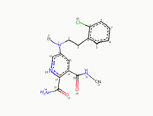 CCN(CCc1ccccc1Cl)c1cnc(C(N)=O)c(C(=O)NC#N)c1